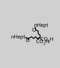 CCCCCCCC1OC1CCCC(C(=O)O)=C(CCCC1OC1CCCCCCC)C(=O)O